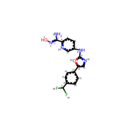 N/C(=N\O)c1ccc(Nc2ncc(-c3ccc(C(F)F)cc3)o2)cn1